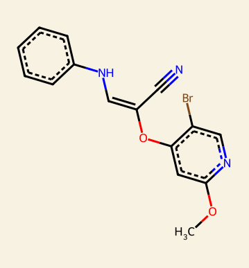 COc1cc(O/C(C#N)=C/Nc2ccccc2)c(Br)cn1